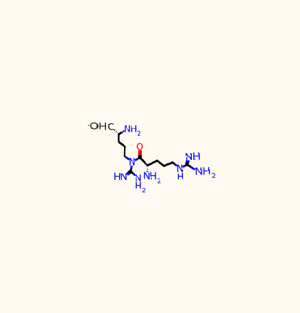 N=C(N)NCCC[C@H](N)C(=O)N(CCC[C@@H](N)[C]=O)C(=N)N